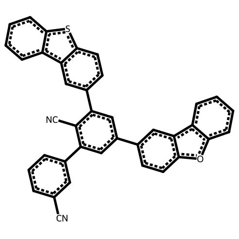 N#Cc1cccc(-c2cc(-c3ccc4oc5ccccc5c4c3)cc(-c3ccc4sc5ccccc5c4c3)c2C#N)c1